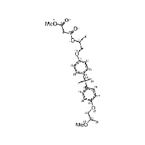 COC(=O)CC(=O)OC(C)COc1ccc(C(C)(C)c2ccc(OCC(C)OC)cc2)cc1